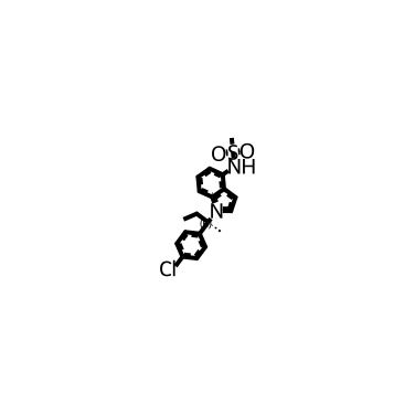 CC[C@](C)(c1ccc(Cl)cc1)n1ccc2c(NS(C)(=O)=O)cccc21